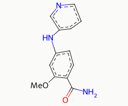 COc1cc(Nc2cccnc2)ccc1C(N)=O